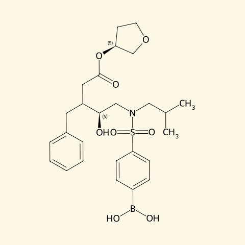 CC(C)CN(C[C@@H](O)C(CC(=O)O[C@H]1CCOC1)Cc1ccccc1)S(=O)(=O)c1ccc(B(O)O)cc1